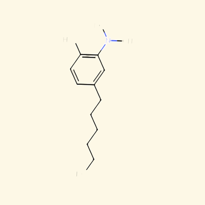 CCCCCCc1ccc(C)c(N(C)C)c1